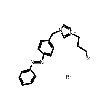 BrCCC[n+]1ccn(Cc2ccc(N=Nc3ccccc3)cc2)c1.[Br-]